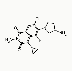 NC1CCN(c2c(Cl)cc3c(=O)n(N)c(=O)n(C4CC4)c3c2F)C1